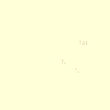 CN1C2NCc3ccccc3N21